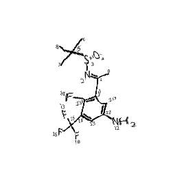 CC(=N[S@+]([O-])C(C)(C)C)c1cc(N)cc(C(F)(F)F)c1F